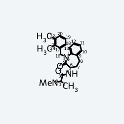 CNC(C)C(=O)N[C@H]1CCc2ccccc2N(Cc2cccc(C)c2C)C1=O